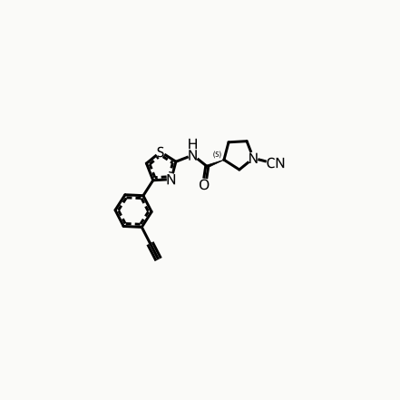 C#Cc1cccc(-c2csc(NC(=O)[C@H]3CCN(C#N)C3)n2)c1